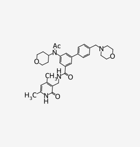 CC(=O)N(c1cc(C(=O)NCc2c(C)cc(C)[nH]c2=O)cc(-c2ccc(CN3CCOCC3)cc2)c1)C1CCOCC1